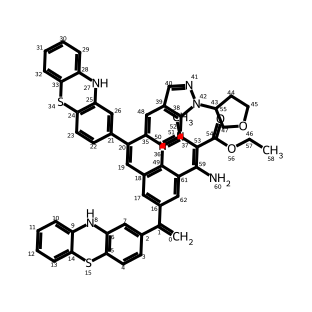 C=C(c1ccc2c(c1)Nc1ccccc1S2)c1cc(/C=C(/c2ccc3c(c2)Nc2ccccc2S3)c2cnc3c(cnn3C3CCOC3)c2)c2nc(C)c(C(=O)OCC)c(N)c2c1